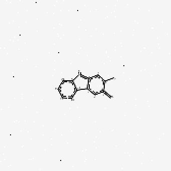 C=c1cc2c(cc1C)=Nc1ccccc1-2